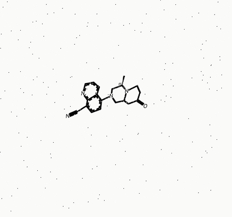 C[C@@H]1CN(c2ccc(C#N)c3ncccc23)CC2CC(=O)CCN21